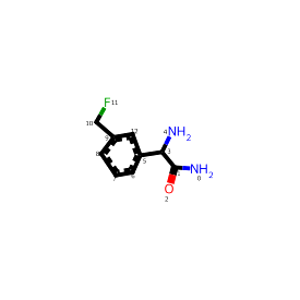 NC(=O)C(N)c1cccc(CF)c1